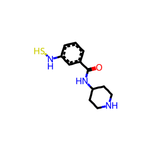 O=C(NC1CCNCC1)c1cccc(NS)c1